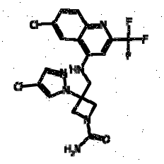 NC(=O)N1CC(CNc2cc(C(F)(F)F)nc3ccc(Cl)cc23)(n2cc(Cl)cn2)C1